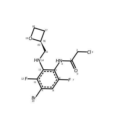 O=C(CCl)Nc1c(F)cc(Br)c(F)c1NC[C@@H]1CCO1